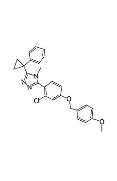 COc1ccc(COc2ccc(-c3nnc(C4(c5ccccc5)CC4)n3C)c(Cl)c2)cc1